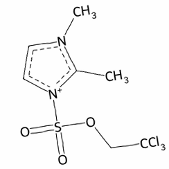 Cc1n(C)cc[n+]1S(=O)(=O)OCC(Cl)(Cl)Cl